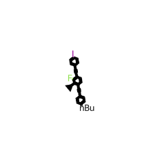 CCCCc1ccc(C#Cc2ccc(C#Cc3ccc(I)cc3)c(F)c2C2CC2)cc1